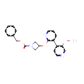 COc1cnccc1-c1cccnc1OC1CN(C(=O)OCc2ccccc2)C1